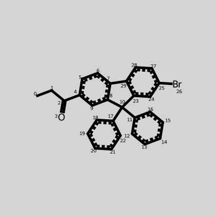 CCC(=O)c1ccc2c(c1)C(c1ccccc1)(c1ccccc1)c1cc(Br)ccc1-2